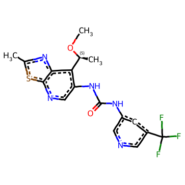 CO[C@@H](C)c1c(NC(=O)Nc2cncc(C(F)(F)F)c2)cnc2sc(C)nc12